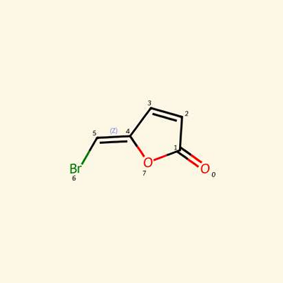 O=C1C=C/C(=C/Br)O1